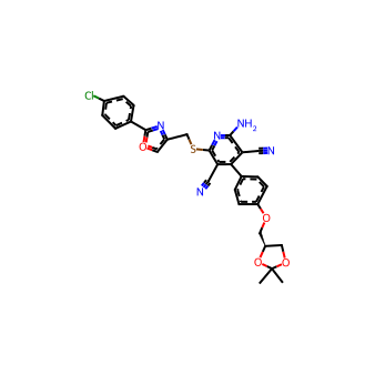 CC1(C)OC[C@H](COc2ccc(-c3c(C#N)c(N)nc(SCc4coc(-c5ccc(Cl)cc5)n4)c3C#N)cc2)O1